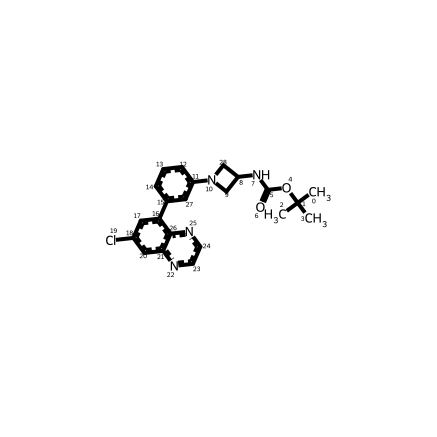 CC(C)(C)OC(=O)NC1CN(c2cccc(-c3cc(Cl)cc4nccnc34)c2)C1